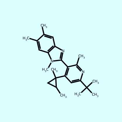 Cc1cc2nc(-c3c(C4(C)CC4C)cc(C(C)(C)C)nc3C)n(C)c2cc1C